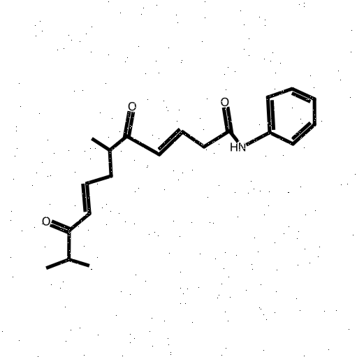 CC(C)C(=O)/C=C/CC(C)C(=O)/C=C/CC(=O)Nc1ccccc1